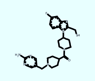 Nc1ncc(CN2CCC(C(=O)N3CCC(n4c(CS)nc5cc(F)ccc54)CC3)CC2)cn1